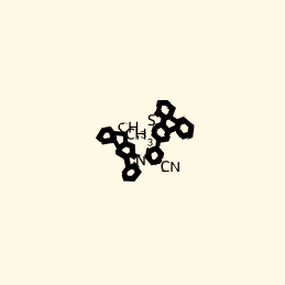 CC1(C)c2ccccc2-c2cc3c4ccccc4n(-c4cc(C#N)cc(-c5cc6sc7cccc8c9ccccc9c(c5)c6c78)c4)c3cc21